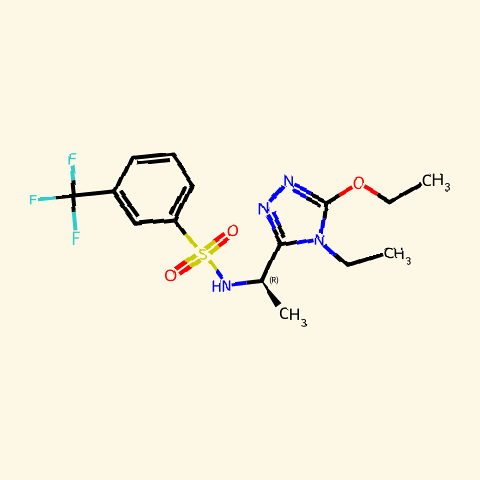 CCOc1nnc([C@@H](C)NS(=O)(=O)c2cccc(C(F)(F)F)c2)n1CC